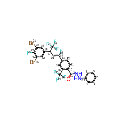 O=C(NNc1ccccc1)c1ccc(/C(F)=C/C(c2cc(Br)c(F)c(Br)c2)C(F)(F)F)cc1C(F)(F)F